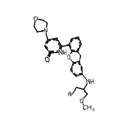 COCC(CBr)Nc1ccc2c(c1)Cc1cccc(-c3cc(N4CCOCC4)cc(=O)[nH]3)c1O2